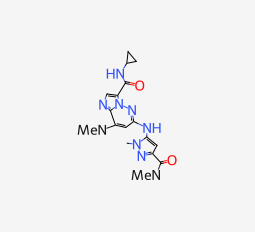 CNC(=O)c1cc(Nc2cc(NC)c3ncc(C(=O)NC4CC4)n3n2)n(C)n1